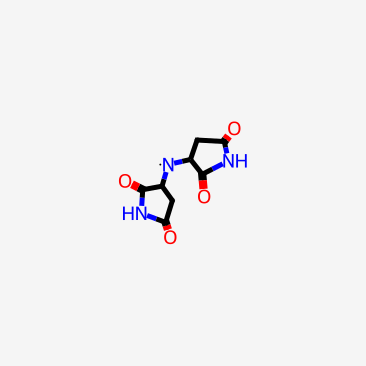 O=C1CC([N]C2CC(=O)NC2=O)C(=O)N1